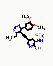 CCc1ncnc(-c2ccc(OC)c(OC)c2)c1C#Cc1cnc(C)c(N[S+](C)[O-])c1